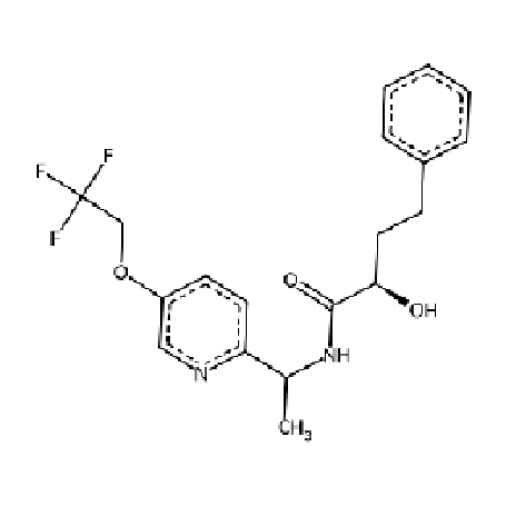 CC(NC(=O)[C@H](O)CCc1ccccc1)c1ccc(OCC(F)(F)F)cn1